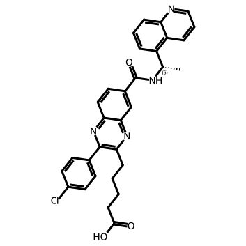 C[C@H](NC(=O)c1ccc2nc(-c3ccc(Cl)cc3)c(CCCCC(=O)O)nc2c1)c1cccc2ncccc12